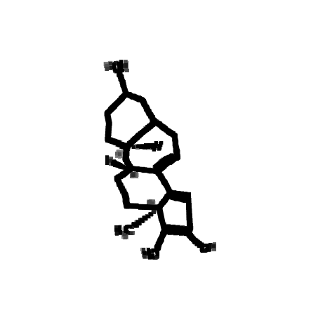 C[C@]12CC[C@H]3C(=CCC4CC([51OH])CC[C@@H]43)C1=CC(O)=C2O